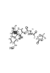 C[C@H](NC(=O)C[C@@H]1OC(C)(C)OC1=O)C(=O)OC1=CC[C@@]2(O)[C@H]3Cc4ccc(CO)c5c4[C@@]2(CCN3C)[C@H]1O5